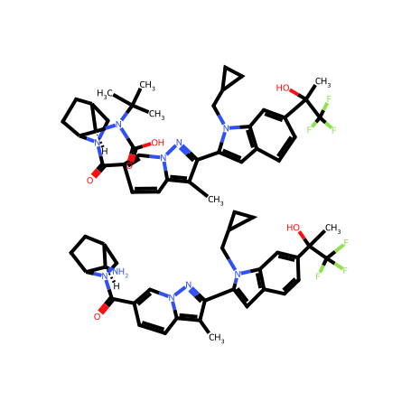 Cc1c(-c2cc3ccc(C(C)(O)C(F)(F)F)cc3n2CC2CC2)nn2cc(C(=O)N3CC4CCC3[C@@H]4N(C(=O)O)C(C)(C)C)ccc12.Cc1c(-c2cc3ccc(C(C)(O)C(F)(F)F)cc3n2CC2CC2)nn2cc(C(=O)N3CC4CCC3[C@@H]4N)ccc12